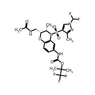 CC(=O)NC[C@H]1Oc2ccc(NC(=O)OC(C)(C)C(F)(F)F)cc2N(S(=O)(=O)c2cn(C(F)F)nc2C)[C@H]1C